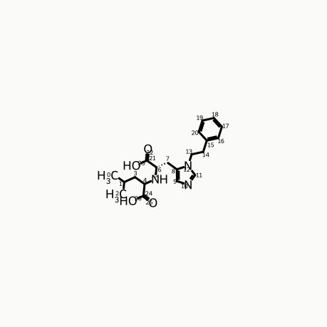 CC(C)CC(N[C@@H](Cc1cncn1CCc1ccccc1)C(=O)O)C(=O)O